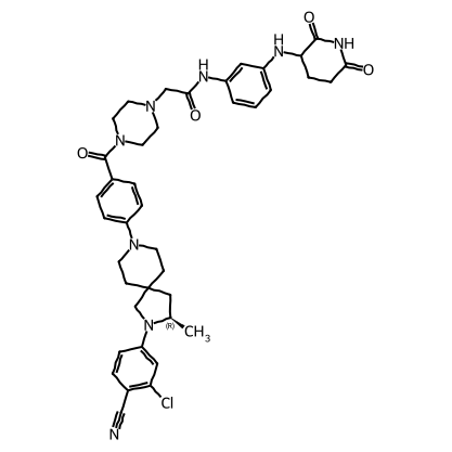 C[C@@H]1CC2(CCN(c3ccc(C(=O)N4CCN(CC(=O)Nc5cccc(NC6CCC(=O)NC6=O)c5)CC4)cc3)CC2)CN1c1ccc(C#N)c(Cl)c1